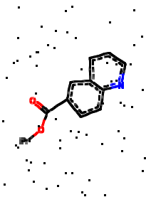 CC(C)OC(=O)c1ccc2ncccc2c1